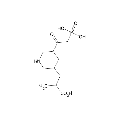 [CH2]C(CC1CNCC(C(=O)CP(=O)(O)O)C1)C(=O)O